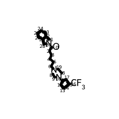 O=C(CCCCCN1CCN(c2cccc(C(F)(F)F)c2)CC1)n1cc2ccccc2c1